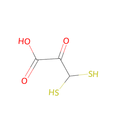 O=C(O)C(=O)C(S)S